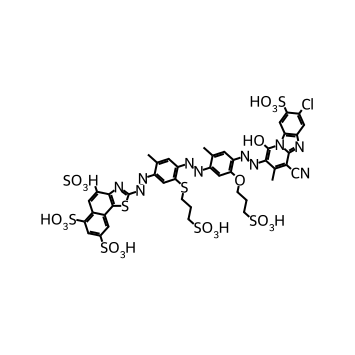 Cc1cc(N=Nc2cc(OCCCS(=O)(=O)O)c(N=Nc3c(C)c(C#N)c4nc5cc(Cl)c(S(=O)(=O)O)cc5n4c3O)cc2C)c(SCCCS(=O)(=O)O)cc1N=Nc1nc2c(S(=O)(=O)O)cc3c(S(=O)(=O)O)cc(S(=O)(=O)O)cc3c2s1